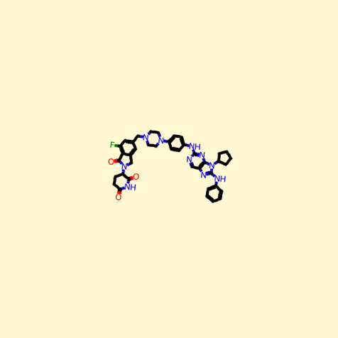 O=C1CCC(N2Cc3cc(CN4CCN(c5ccc(Nc6ncc7nc(Nc8ccccc8)n(C8CCCC8)c7n6)cc5)CC4)cc(F)c3C2=O)C(=O)N1